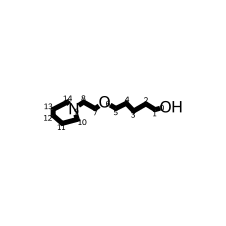 OCCCCCOCCN1CCCCC1